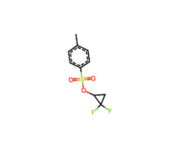 Cc1ccc(S(=O)(=O)OC2CC2(F)F)cc1